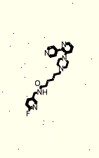 O=C(CCCCCN1CCN(c2cccnc2-c2ccncc2)CC1)NCc1ccc(F)nc1